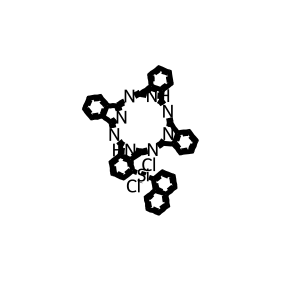 Cl[Si](Cl)(c1cccc2ccccc12)c1cccc2c3nc4nc(nc5[nH]c(nc6nc(nc([nH]3)c12)-c1ccccc1-6)c1ccccc51)-c1ccccc1-4